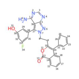 Nc1ncnc2nn(CCc3oc(=O)c4ccccc4c3-c3ccccc3)c(-c3cc(O)cc(F)c3)c12